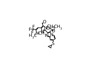 CCS(=O)(=O)c1c(-c2nc(/C=C(\N(C)C)C(F)(F)F)c(C=O)n2C)nc2cc(SC3CC3)ccn12